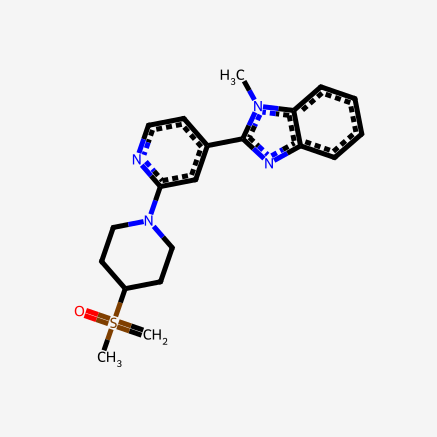 C=S(C)(=O)C1CCN(c2cc(-c3nc4ccccc4n3C)ccn2)CC1